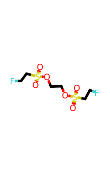 O=S(=O)(CCF)OCCOS(=O)(=O)CCF